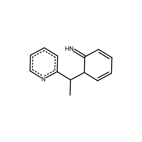 CC(c1ccccn1)C1C=CC=CC1=N